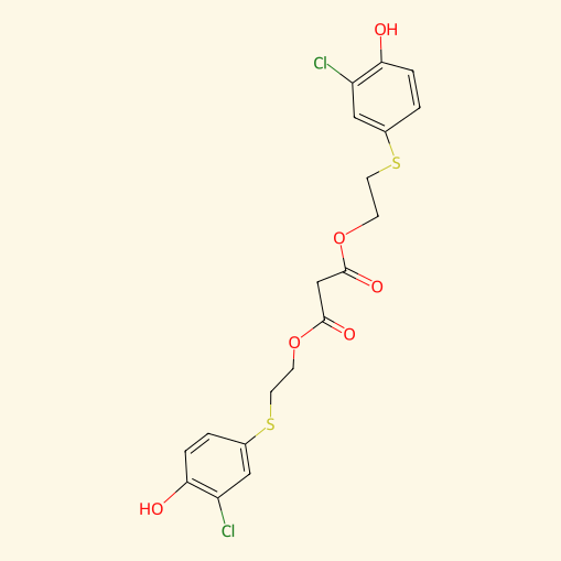 O=C(CC(=O)OCCSc1ccc(O)c(Cl)c1)OCCSc1ccc(O)c(Cl)c1